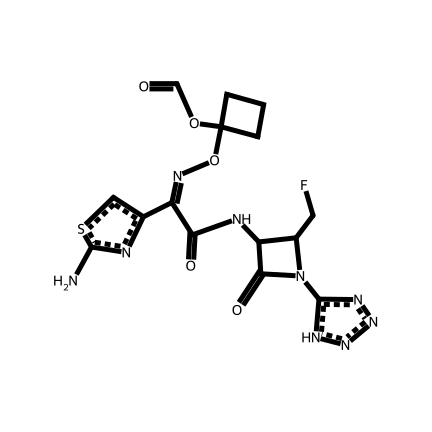 Nc1nc(C(=NOC2(OC=O)CCC2)C(=O)NC2C(=O)N(c3nnn[nH]3)C2CF)cs1